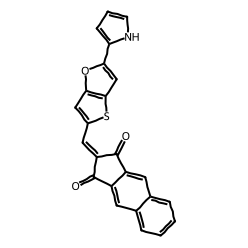 O=C1C(=Cc2cc3oc(-c4ccc[nH]4)cc3s2)C(=O)c2cc3ccccc3cc21